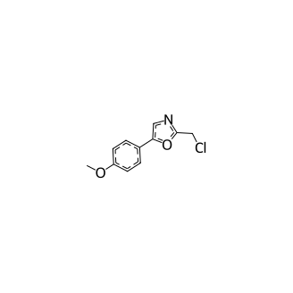 COc1ccc(-c2cnc(CCl)o2)cc1